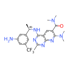 Cc1nc(N[C@H](C)c2cc(N)cc(C(F)(F)F)c2)c2cc(C(=O)N(C)C)c(N(C)C)nc2n1